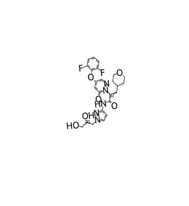 O=C(Nc1ccn(C[C@@H](O)CO)n1)[C@H](CC1CCOCC1)n1ncc(Oc2c(F)cccc2F)cc1=O